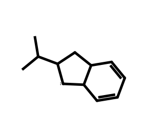 CC(C)C1[C]C2C=CC=CC2C1